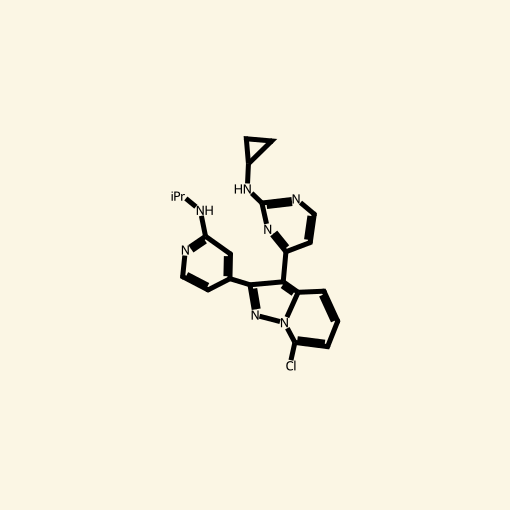 CC(C)Nc1cc(-c2nn3c(Cl)cccc3c2-c2ccnc(NC3CC3)n2)ccn1